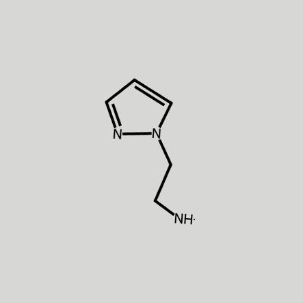 [NH]CCn1cccn1